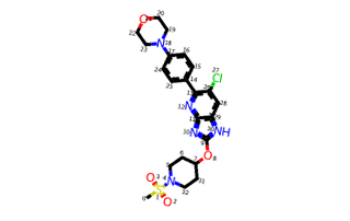 CS(=O)(=O)N1CCC(Oc2nc3nc(-c4ccc(N5CCOCC5)cc4)c(Cl)cc3[nH]2)CC1